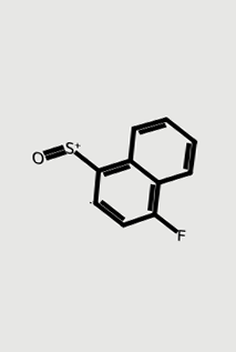 O=[S+]c1[c]cc(F)c2ccccc12